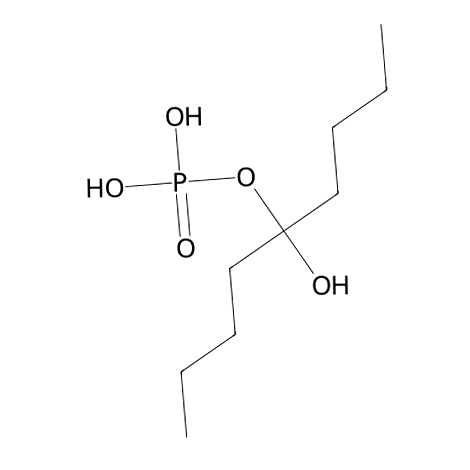 CCCCC(O)(CCCC)OP(=O)(O)O